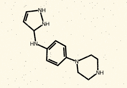 C1=CC(Nc2ccc(N3CCNCC3)cc2)NN1